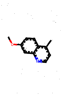 [CH2]c1ccnc2cc(OC)ccc12